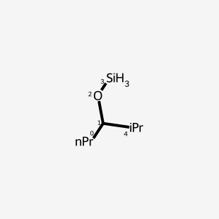 CCCC(O[SiH3])C(C)C